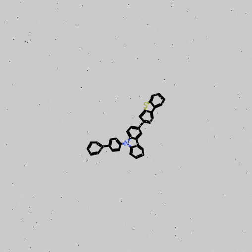 c1ccc(-c2ccc(-n3c4ccccc4c4cc(-c5ccc6c(c5)sc5ccccc56)ccc43)cc2)cc1